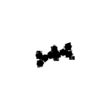 CC(C)(C)c1c2ccc(-c3ccc4c(c3)c3cc(C#N)ccc3n4-c3ccccc3)cc2c(-c2cccnc2)c2ccc(-c3ccc4c(c3)c3cc(C#N)ccc3n4-c3ccccc3)cc12